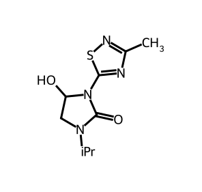 Cc1nsc(N2C(=O)N(C(C)C)CC2O)n1